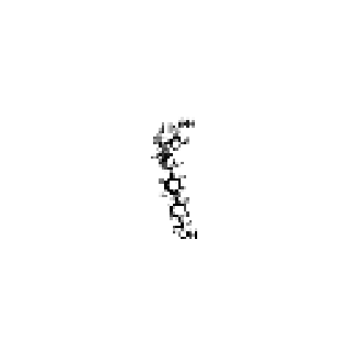 CC(C)(O)c1ccc(-c2ccc(C3=NO[C@@H](C[C@](C)(C(=O)NO)S(C)(=O)=O)C3)cc2)cn1